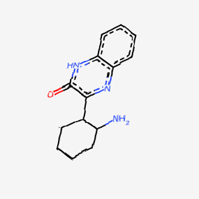 NC1CCC[CH]C1c1nc2ccccc2[nH]c1=O